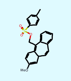 COC1=CC2C=Cc3ccccc3C(COS(=O)(=O)c3ccc(C)cc3)=C2C=C1